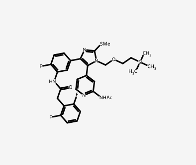 CSc1nc(-c2ccc(F)c(NC(=O)Cc3c(F)cccc3F)c2)c(-c2ccnc(NC(C)=O)c2)n1COCC[Si](C)(C)C